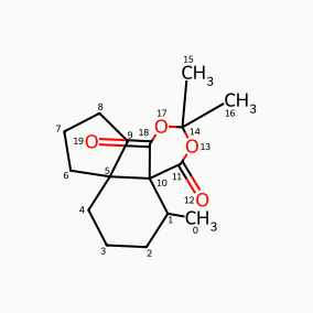 CC1CCCC2(CCCC2)C12C(=O)OC(C)(C)OC2=O